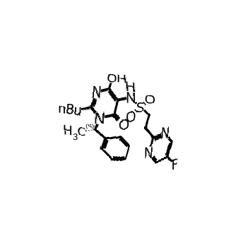 CCCCc1nc(O)c(NS(=O)(=O)CCc2ncc(F)cn2)c(=O)n1[C@@H](C)c1ccccc1